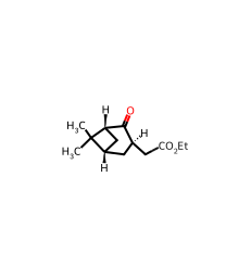 CCOC(=O)C[C@H]1C[C@H]2C[C@@H](C1=O)C2(C)C